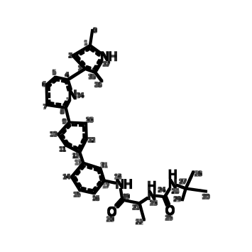 Cc1cc(-c2cccc(-c3ccc(-c4cccc(NC(=O)C(C)NC(=O)NC(C)(C)C)c4)cc3)n2)c(C)[nH]1